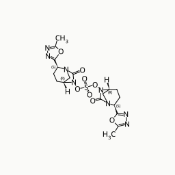 Cc1nnc([C@@H]2CC[C@@H]3CN2C(=O)N3OS(=O)(=O)ON2C(=O)N3C[C@H]2CC[C@H]3c2nnc(C)o2)o1